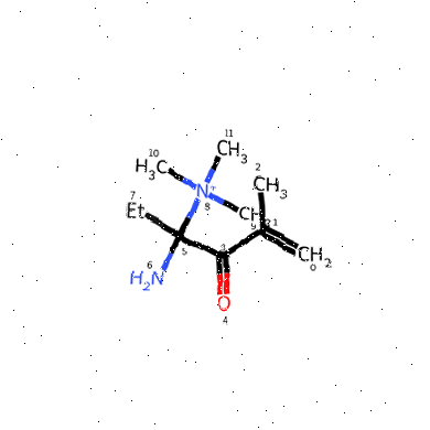 C=C(C)C(=O)C(N)(CC)[N+](C)(C)C